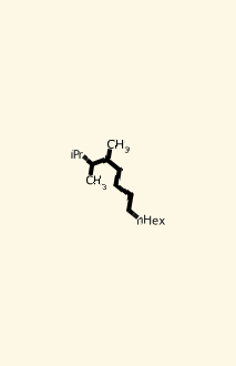 [CH2]CCCCCCCCCC(C)C(C)C(C)C